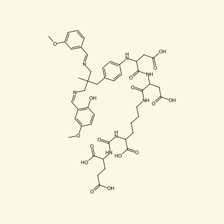 COc1cccc(/C=N/CC(C)(C/N=C\c2cc(OC)ccc2O)Cc2ccc(NC(CC(=O)O)C(=O)NC(CC(=O)O)C(=O)NCCCCC(NC(=O)NC(CCC(=O)O)C(=O)O)C(=O)O)cc2)c1